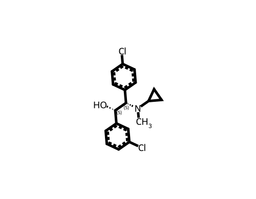 CN(C1CC1)[C@@H](c1ccc(Cl)cc1)[C@@H](O)c1cccc(Cl)c1